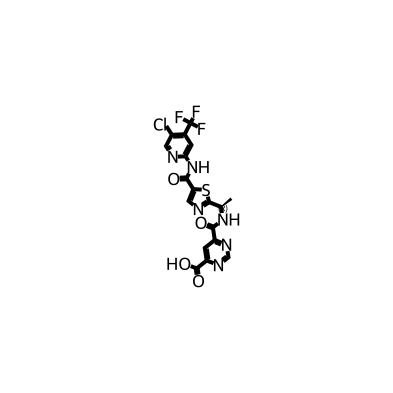 C[C@@H](NC(=O)c1cc(C(=O)O)ncn1)c1ncc(C(=O)Nc2cc(C(F)(F)F)c(Cl)cn2)s1